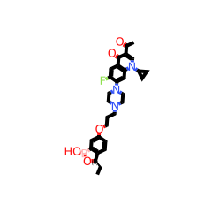 CC[C@H]1OB(O)c2cc(OCCCN3CCN(c4cc5c(cc4F)c(=O)c(C(C)=O)cn5C4CC4)CC3)ccc21